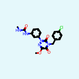 CNC(=O)Nc1cccc(-n2nc(OC)c(=O)n(Cc3ccc(Cl)cc3)c2=O)c1